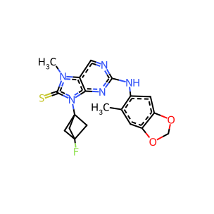 Cc1cc2c(cc1Nc1ncc3c(n1)n(C14CC(F)(C1)C4)c(=S)n3C)OCO2